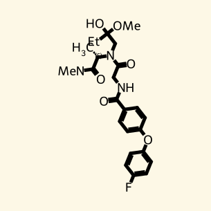 CCC(O)(CN(C(=O)CNC(=O)c1ccc(Oc2ccc(F)cc2)cc1)[C@@H](C)C(=O)NC)OC